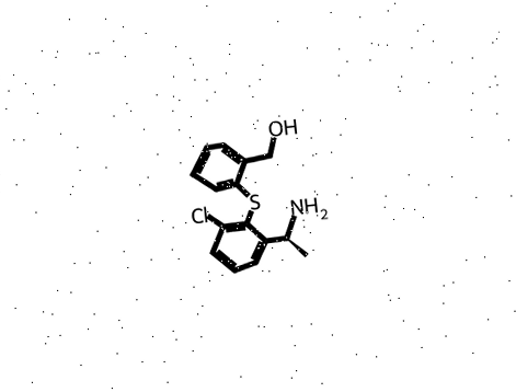 C[C@H](N)c1cccc(Cl)c1Sc1ccccc1CO